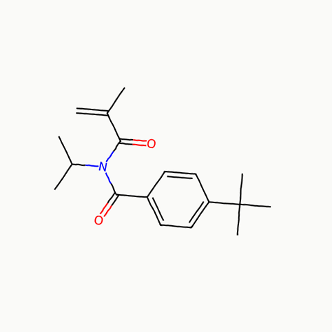 C=C(C)C(=O)N(C(=O)c1ccc(C(C)(C)C)cc1)C(C)C